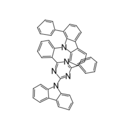 c1ccc(-c2nc(-c3ccccc3-n3c4ccccc4c4cccc(-c5ccccc5)c43)nc(-n3c4ccccc4c4ccccc43)n2)cc1